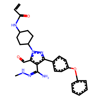 C=CC(=O)NC1CCC(n2nc(-c3ccc(Oc4ccccc4)cc3)c(/C(N)=N\NC)c2C=O)CC1